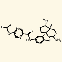 CO[C@H]1CC[C@]2(c3cc(NC(=O)c4cnc(OC(F)I)cn4)ccc3F)N=C(N)SC[C@H]12